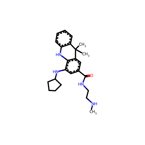 CNCCNC(=O)c1cc(NC2CCCC2)c2c(c1)C(C)(C)c1ccccc1N2